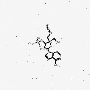 CC(C)(C)[Si](C)(C)OC1[C@@H](F)[C@H](N2C=NC3C(N)=NC=NC32)O[C@@]1(CO)CN=[N+]=[N-]